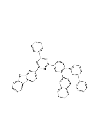 c1ccc(-c2cccc(-c3ccc(-c4nc(-c5ccccc5)nc(-c5ccc6c(c5)oc5ccccc56)n4)cc3-c3ccc4ccccc4c3)c2)cc1